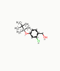 CC(C)(C)[Si](C)(C)Oc1ccc(CO)c(Cl)c1